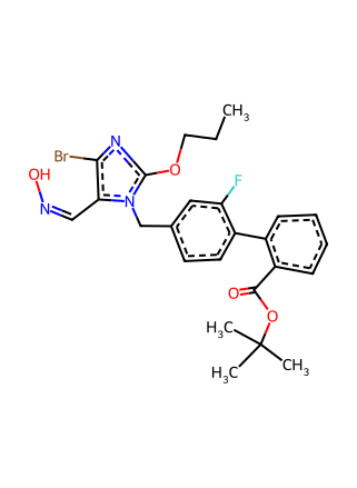 CCCOc1nc(Br)c(/C=N\O)n1Cc1ccc(-c2ccccc2C(=O)OC(C)(C)C)c(F)c1